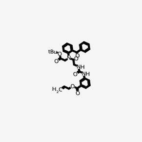 C=CCOC(=O)c1cccc(NC(=O)NCC(=O)N(CC(=O)OC(C)(C)C)c2ccccc2C(=O)c2ccccc2)c1